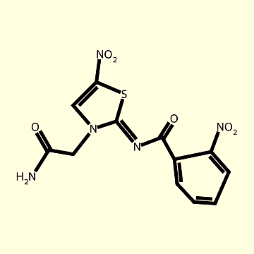 NC(=O)Cn1cc([N+](=O)[O-])s/c1=N\C(=O)c1ccccc1[N+](=O)[O-]